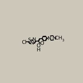 CN1CCN(c2ccc3c(c2)OC(O)C(c2cn4cc(Cl)sc4n2)=C3)CC1